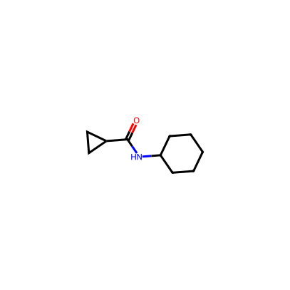 O=C(NC1CCCCC1)C1CC1